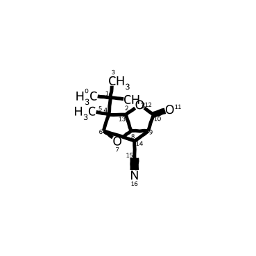 CC(C)(C)C1(C)C2OC3C(C(=O)OC31)C2C#N